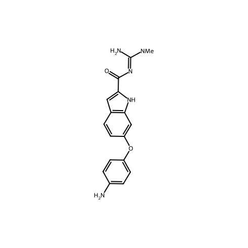 CNC(N)=NC(=O)c1cc2ccc(Oc3ccc(N)cc3)cc2[nH]1